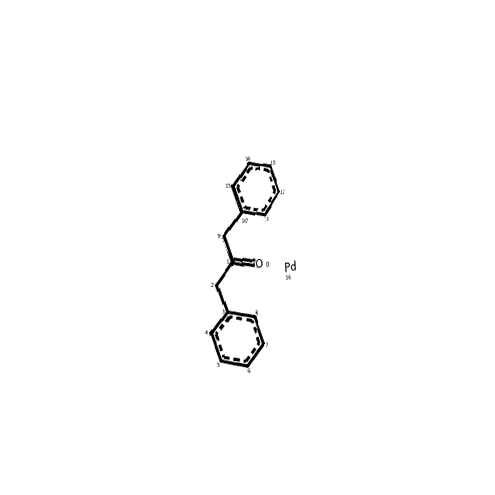 O=C(Cc1ccccc1)Cc1ccccc1.[Pd]